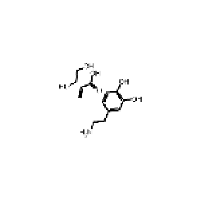 C=CC(=O)O.NCCc1ccc(O)c(O)c1.OCCO